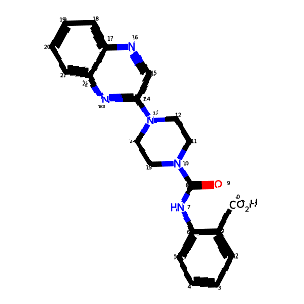 O=C(O)c1ccccc1NC(=O)N1CCN(c2cnc3ccccc3n2)CC1